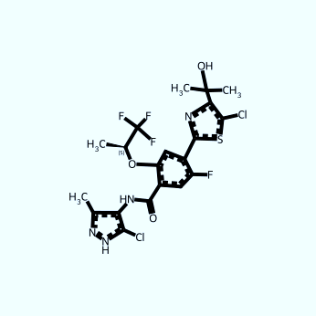 Cc1n[nH]c(Cl)c1NC(=O)c1cc(F)c(-c2nc(C(C)(C)O)c(Cl)s2)cc1O[C@@H](C)C(F)(F)F